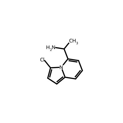 CC(N)c1cccc2ccc(Cl)n12